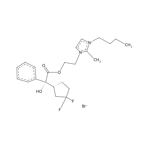 CCCC[n+]1ccn(CCOC(=O)[C@](O)(c2ccccc2)[C@@H]2CCC(F)(F)C2)c1C.[Br-]